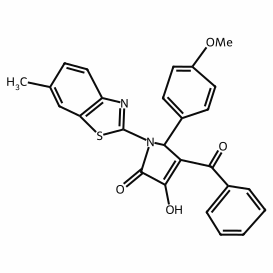 COc1ccc(C2C(C(=O)c3ccccc3)=C(O)C(=O)N2c2nc3ccc(C)cc3s2)cc1